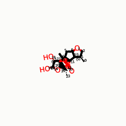 C[C@@H]1COC2CC34C5OC(=O)C3(OC3O[C@H](O)[C@H](O)C34C[C@H]5C)C21